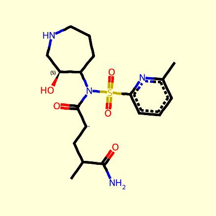 Cc1cccc(S(=O)(=O)N(C(=O)[CH]CC(C)C(N)=O)C2CCCNC[C@@H]2O)n1